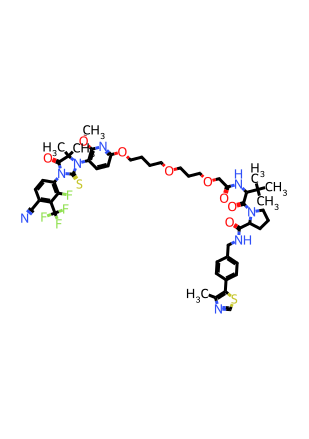 COc1nc(OCCCCOCCCOCC(=O)NC(C(=O)N2CCCC2C(=O)NCc2ccc(-c3scnc3C)cc2)C(C)(C)C)ccc1N1C(=S)N(c2ccc(C#N)c(C(F)(F)F)c2F)C(=O)C1(C)C